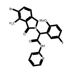 COc1ccc(F)cc1C(C(=O)Nc1ccccn1)N1Cc2ccc(Br)c(C)c2C1=O